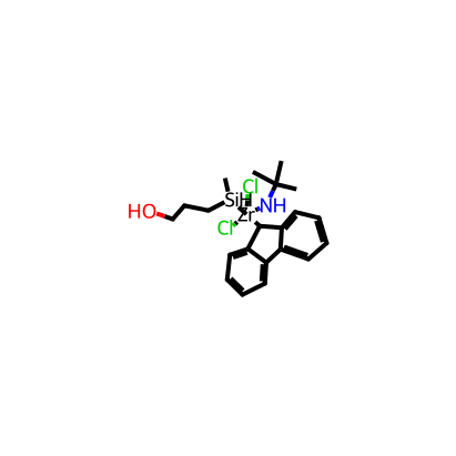 C[SiH](CCCO)[Zr]([Cl])([Cl])([NH]C(C)(C)C)[CH]1c2ccccc2-c2ccccc21